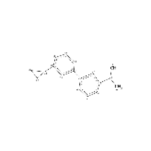 CC(C)c1cccc(-c2cc[c]c(C3CC3)c2)c1